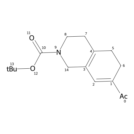 CC(=O)C1=CC2=C(CC1)CCN(C(=O)OC(C)(C)C)C2